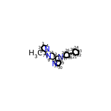 Cc1cccnc1CN1CCC2(CC1)CN(c1ccc(-c3ccccc3)cc1)c1cccnc12